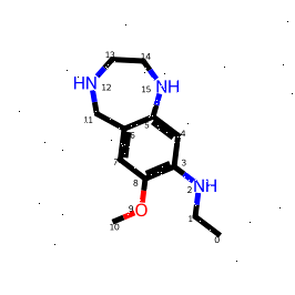 CCNc1cc2c(cc1OC)CNCCN2